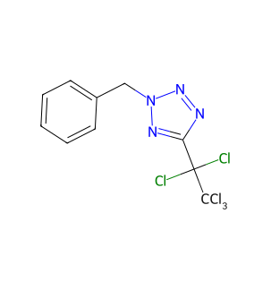 ClC(Cl)(Cl)C(Cl)(Cl)c1nnn(Cc2ccccc2)n1